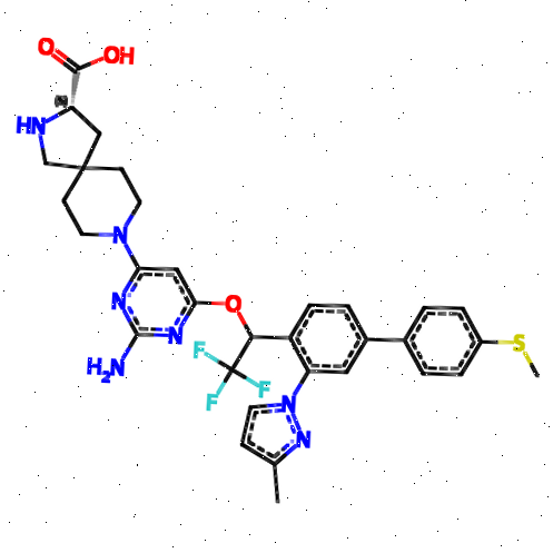 CSc1ccc(-c2ccc(C(Oc3cc(N4CCC5(CC4)CN[C@H](C(=O)O)C5)nc(N)n3)C(F)(F)F)c(-n3ccc(C)n3)c2)cc1